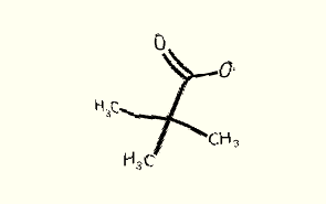 CC(C)(C)C([O])=O